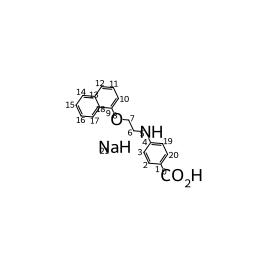 O=C(O)c1ccc(NCCOc2cccc3ccccc23)cc1.[NaH]